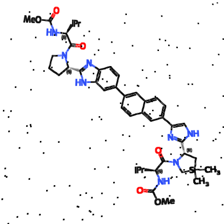 COC(=O)N[C@H](C(=O)N1C[Si](C)(C)C[C@H]1c1nc(-c2ccc3cc(-c4ccc5nc([C@@H]6CCCN6C(=O)[C@@H](NC(=O)OC)C(C)C)[nH]c5c4)ccc3c2)c[nH]1)C(C)C